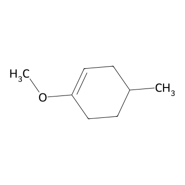 COC1=CCC(C)CC1